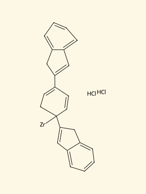 Cl.Cl.[Zr][C]1(C2=Cc3ccccc3C2)C=CC(C2=Cc3ccccc3C2)=CC1